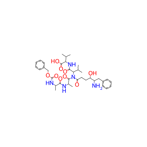 CC(NC(=O)OCc1ccccc1)C(=O)NC(C)C(=O)N(C(=O)CCC(O)C(N)Cc1ccccc1)C(C(=O)NC(C(=O)O)C(C)C)C(C)C